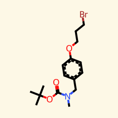 CN(Cc1ccc(OCCCBr)cc1)C(=O)OC(C)(C)C